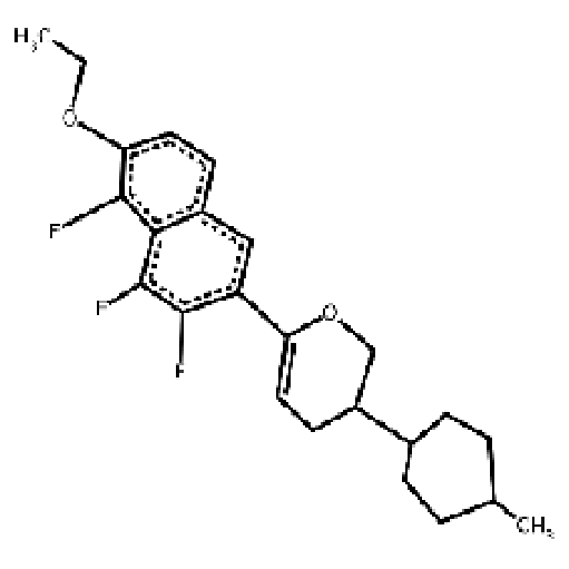 CCOc1ccc2cc(C3=CCC(C4CCC(C)CC4)CO3)c(F)c(F)c2c1F